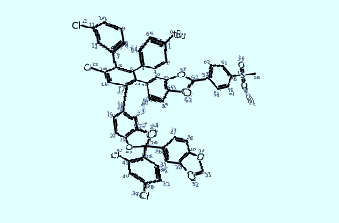 CC(C)(C)c1ccc(-c2c(-c3cccc(Cl)c3)c(Cl)[c]c(-c3ccc4c(c3)OC(c3ccc5c(c3)OCO5)(c3ccc(Cl)cc3Cl)O4)c2-c2ccc3c(c2)OC(c2ccc(S(C)(=O)=O)cc2)O3)cc1